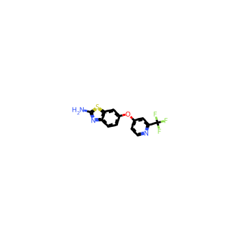 Nc1nc2ccc(Oc3ccnc(C(F)(F)F)c3)cc2s1